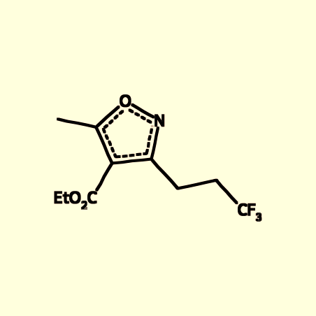 CCOC(=O)c1c(CCC(F)(F)F)noc1C